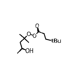 CC(O)CC(C)(C)OOC(=O)CCC(C)(C)C